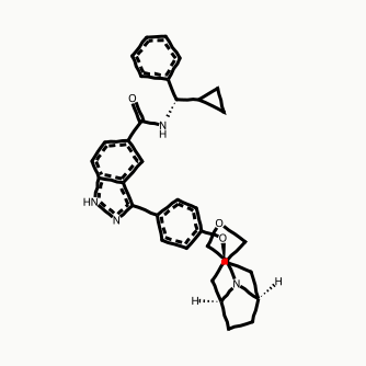 O=C(N[C@H](c1ccccc1)C1CC1)c1ccc2[nH]nc(-c3ccc(O[C@H]4C[C@H]5CC[C@@H](C4)N5C4COC4)cc3)c2c1